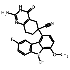 COc1ccc(C2(C#N)CCc3nc(N)[nH]c(=O)c3C2)c2c3cc(F)ccc3n(C)c12